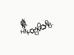 COc1cc([N+](=O)[O-])ccc1N=Nc1ccc(C(C)NCC[N+]23CCN(CC2)CC3)cc1Cl